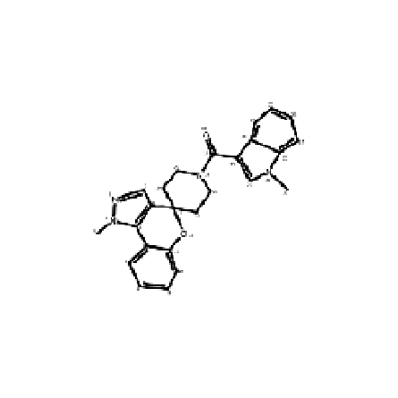 Cn1ncc2c1-c1ccccc1OC21CCN(C(=O)c2cn(C)c3ccccc23)CC1